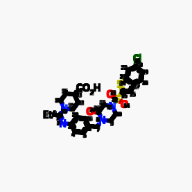 CCC(=Nc1ccc(CN2CCN(S(=O)(=O)c3cc4ccc(Cl)cc4s3)CC2=O)cc1)N1CCC(C(=O)O)CC1